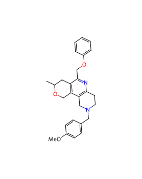 COc1ccc(CN2CCc3nc(COc4ccccc4)c4c(c3C2)COC(C)C4)cc1